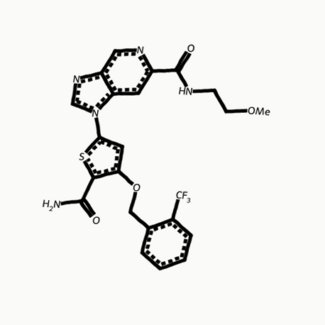 COCCNC(=O)c1cc2c(cn1)ncn2-c1cc(OCc2ccccc2C(F)(F)F)c(C(N)=O)s1